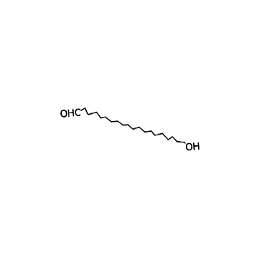 O=CCCCCCCCCCCCCCCCCCCCO